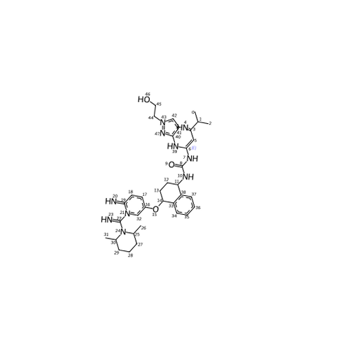 CC(C)C(=N)/C=C(/NC(=O)NC1CCC(Oc2ccc(=N)n(C(=N)N3C(C)CCCC3C)c2)c2ccccc21)Nc1ccn(CCO)n1